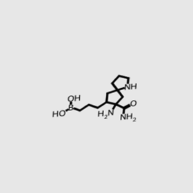 NC(=O)C1(N)CC2(CCCN2)CC1CCCB(O)O